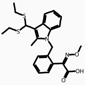 CCSC(SCC)c1c(C)n(Cc2ccccc2C(=NOC)C(=O)O)c2ccccc12